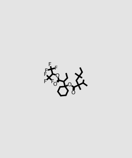 CCC(C(=O)OC(C(F)(F)F)C(F)(F)F)C1(OC(=O)C(C)(CC(C)(C)CC)C(C)C)CCCCC1